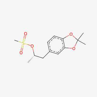 C[C@@H](Cc1ccc2c(c1)OC(C)(C)O2)OS(C)(=O)=O